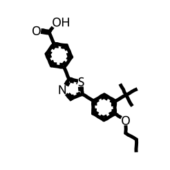 CCCOc1ccc(-c2cnc(-c3ccc(C(=O)O)cc3)s2)cc1C(C)(C)C